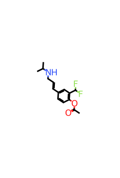 CC(=O)Oc1ccc(C=CCNC(C)C)cc1C(F)F